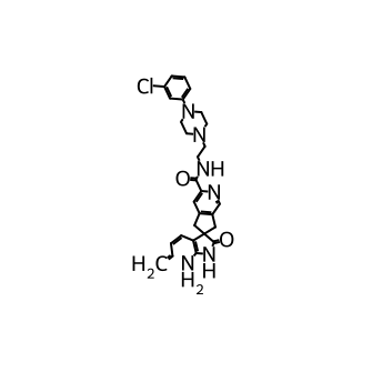 C=C/C=C\C1=C(N)NC(=O)C12Cc1cnc(C(=O)NCCN3CCN(c4cccc(Cl)c4)CC3)cc1C2